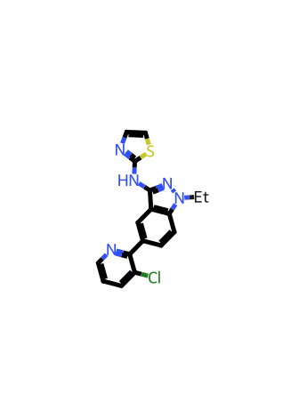 CCn1nc(Nc2nccs2)c2cc(-c3ncccc3Cl)ccc21